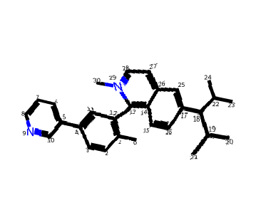 Cc1ccc(-c2cccnc2)cc1-c1c2ccc(C(C(C)C)C(C)C)cc2cc[n+]1C